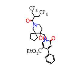 CCOC(=O)c1cn(CC2(O)CCN(C(=O)C(CC(F)(F)F)CC(F)(F)F)CC23CCCC3)c(=O)cc1-c1ccccc1